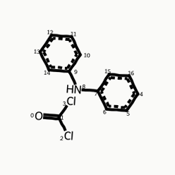 O=C(Cl)Cl.c1ccc(Nc2ccccc2)cc1